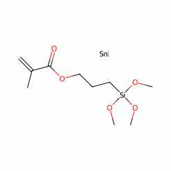 C=C(C)C(=O)OCCC[Si](OC)(OC)OC.[Sn]